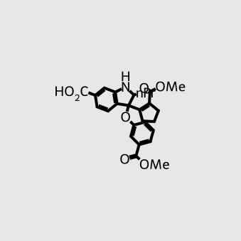 CCCC1Nc2cc(C(=O)O)ccc2C1(Oc1cccc(C(=O)OC)c1)C1=C(C(=O)OC)CCC1